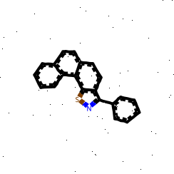 c1ccc(-c2nsc3c2ccc2ccc4ccccc4c23)cc1